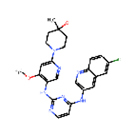 COc1cc(N2CCC(C)(O)CC2)ncc1Nc1nccc(Nc2cnc3ccc(Cl)cc3c2)n1